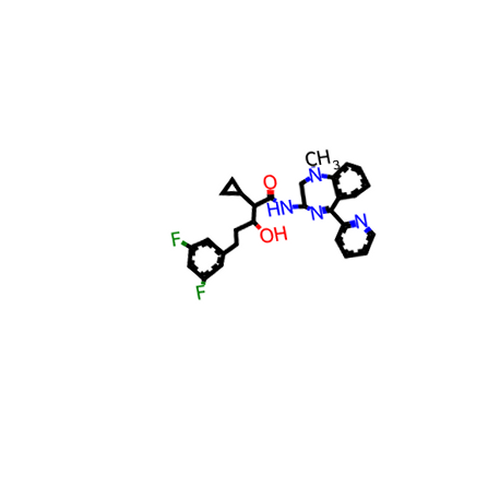 CN1CC(NC(=O)C(C(O)CCc2cc(F)cc(F)c2)C2CC2)N=C(c2ccccn2)c2ccccc21